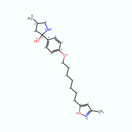 Cc1cc(CCCCCCCOc2ccc(C3(O)CC(C)CN3)cc2)on1